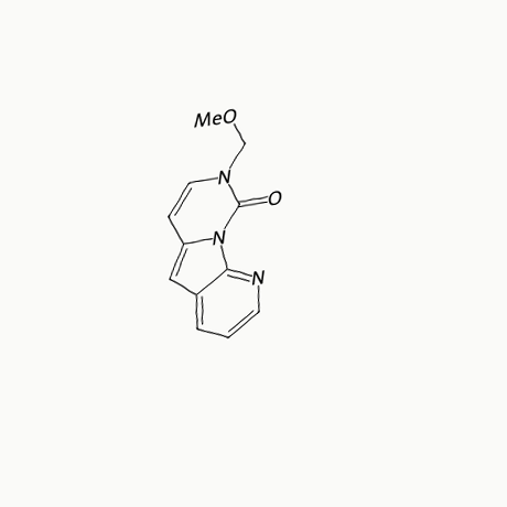 COCn1ccc2cc3cccnc3n2c1=O